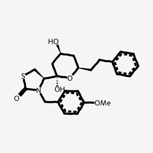 COc1ccc(CN2C(=O)SC[C@H]2[C@@]2(O)C[C@@H](O)C[C@@H](CCc3ccccc3)O2)cc1